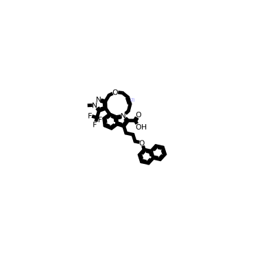 Cn1nc2c(c1C(F)(F)F)-c1cccc3c(CCCOc4cccc5ccccc45)c(C(=O)O)n(c13)C/C=C\COC2